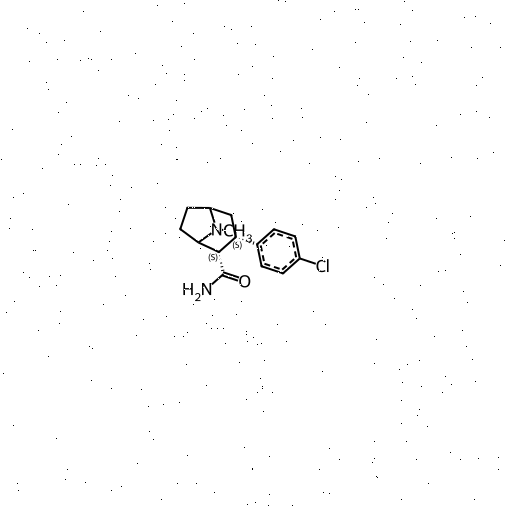 CN1C2CCC1[C@@H](C(N)=O)[C@@H](c1ccc(Cl)cc1)C2